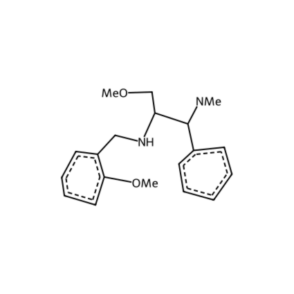 CNC(c1ccccc1)C(COC)NCc1ccccc1OC